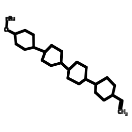 C=CC1CCC(C2CCC(C3CCC(C4CCC(OCCCC)CC4)CC3)CC2)CC1